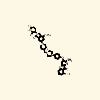 COc1cc(N2CCC(CN3CCN(c4ccc(Oc5cc6oc7cccc(O)c7c(=O)c6nc5N)cc4)C[C@@H]3C)CC2)cc2c1CN(C1CCC(=O)NC1=O)C2=O